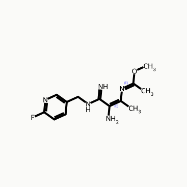 CO/C(C)=N/C(C)=C(/N)C(=N)NCc1ccc(F)nc1